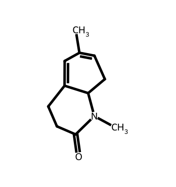 CC1=CCC2C(=C1)CCC(=O)N2C